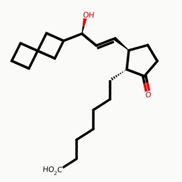 O=C(O)CCCCCC[C@H]1C(=O)CC[C@@H]1/C=C/[C@H](O)C1CC2(CCC2)C1